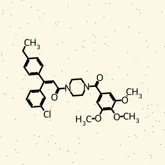 CCc1ccc(/C(=C/C(=O)N2CCN(C(=O)c3cc(OC)c(OC)c(OC)c3)CC2)c2cccc(Cl)c2)cc1